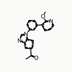 COc1ncccc1-c1cccc(-n2cnc3cc(C(C)=O)ccc32)c1